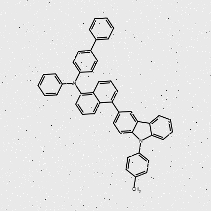 Cc1ccc(-n2c3ccccc3c3cc(-c4cccc5c(N(c6ccccc6)c6ccc(-c7ccccc7)cc6)cccc45)ccc32)cc1